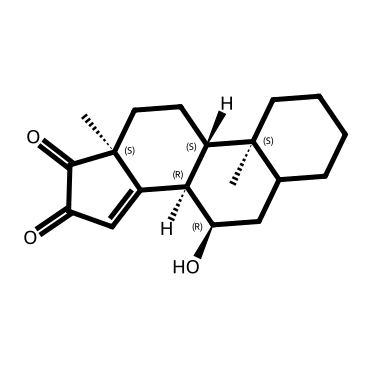 C[C@]12CC[C@H]3[C@H](C1=CC(=O)C2=O)[C@H](O)CC1CCCC[C@@]13C